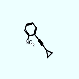 O=[N+]([O-])c1ccccc1C#CC1CC1